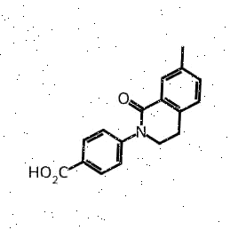 Cc1ccc2c(c1)C(=O)N(c1ccc(C(=O)O)cc1)CC2